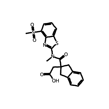 CN(C(=O)C1(CC(=O)O)Cc2ccccc2C1)c1nc2c(S(C)(=O)=O)cccc2s1